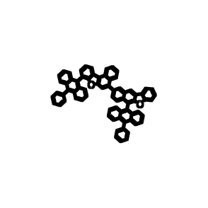 c1ccc(-c2c3ccccc3c(-c3c4ccc(-c5cc6oc7c(-c8c9ccccc9c(-c9ccccc9)c9ccccc89)cccc7c6c6ccccc56)cc4cc4c3oc3ccccc34)c3ccccc23)cc1